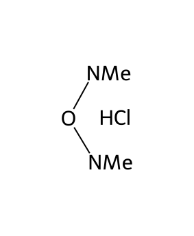 CNONC.Cl